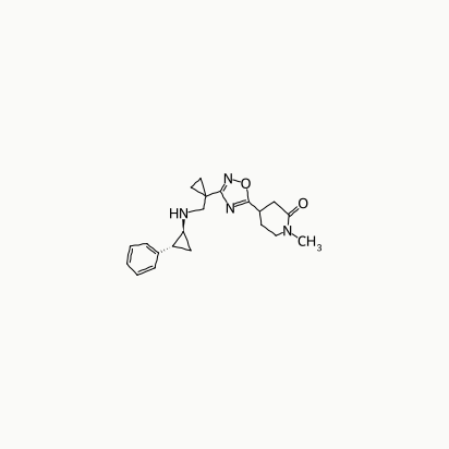 CN1CCC(c2nc(C3(CN[C@H]4C[C@@H]4c4ccccc4)CC3)no2)CC1=O